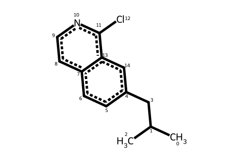 CC(C)Cc1ccc2ccnc(Cl)c2c1